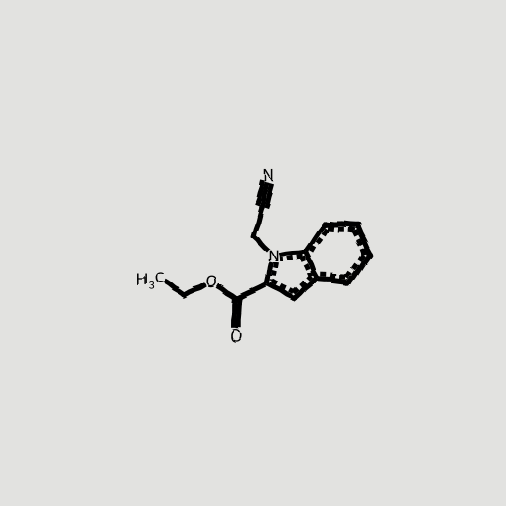 CCOC(=O)c1cc2ccccc2n1CC#N